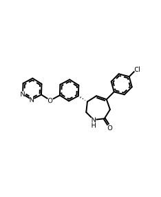 O=C1CC(c2ccc(Cl)cc2)=C[C@@H](c2cccc(Oc3cccnn3)c2)CN1